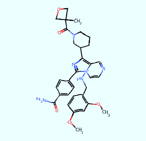 COc1ccc(CN[N+]23C=CN=CC2=C(C2CCCN(C(=O)C4(C)COC4)C2)N=C3c2ccc(C(N)=O)cc2)c(OC)c1